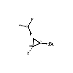 CC(C)(C)[C@@H]1C[C@H]1[K].FB(F)F